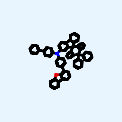 c1ccc(-c2ccc(N(c3ccc(-c4cccc5c4oc4ccccc45)cc3)c3ccc4c(c3)C3(c5ccccc5-4)c4ccccc4C(c4ccccc4)(c4ccccc4)c4ccccc43)cc2)cc1